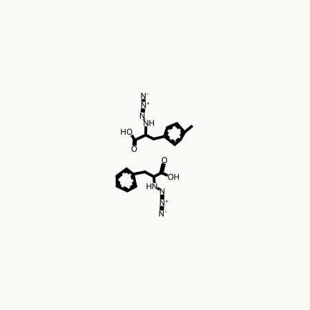 Cc1ccc(CC(NN=[N+]=[N-])C(=O)O)cc1.[N-]=[N+]=NNC(Cc1ccccc1)C(=O)O